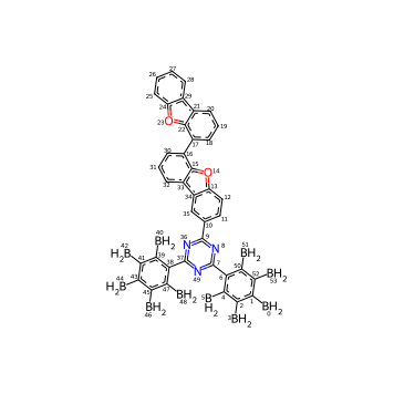 Bc1c(B)c(B)c(-c2nc(-c3ccc4oc5c(-c6cccc7c6oc6ccccc67)cccc5c4c3)nc(-c3c(B)c(B)c(B)c(B)c3B)n2)c(B)c1B